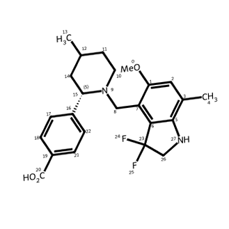 COc1cc(C)c2c(c1CN1CCC(C)C[C@H]1c1ccc(C(=O)O)cc1)C(F)(F)CN2